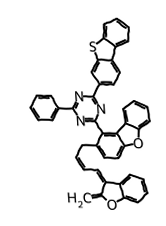 C=c1oc2ccccc2/c1=C/C=C\Cc1ccc2oc3ccccc3c2c1-c1nc(-c2ccccc2)nc(-c2ccc3c(c2)sc2ccccc23)n1